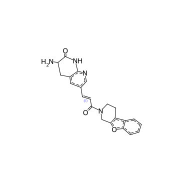 NC1Cc2cc(/C=C/C(=O)N3CCc4c(oc5ccccc45)C3)cnc2NC1=O